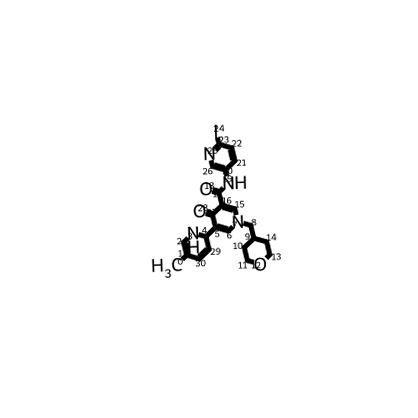 CC1=CNC(c2cn(CC3CCOCC3)cc(C(=O)Nc3ccc(I)nc3)c2=O)C=C1